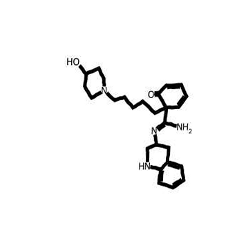 NC(=NC1CNc2ccccc2C1)C1(CCCCCN2CCC(O)CC2)C=CC=CC1=O